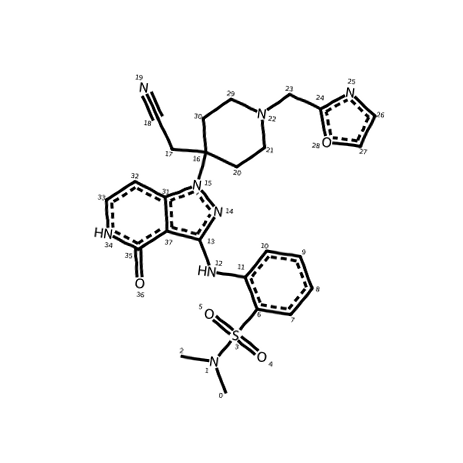 CN(C)S(=O)(=O)c1ccccc1Nc1nn(C2(CC#N)CCN(Cc3ncco3)CC2)c2cc[nH]c(=O)c12